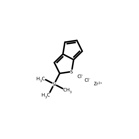 C[Si](C)(C)C1C=C2C=CC=C2S1.[Cl-].[Cl-].[Zr+2]